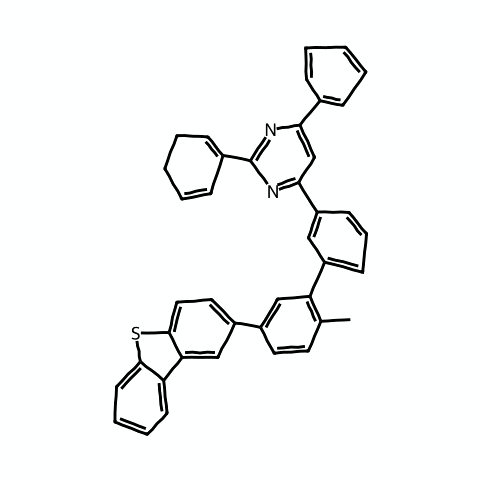 Cc1ccc(-c2ccc3sc4ccccc4c3c2)cc1-c1cccc(-c2cc(-c3ccccc3)nc(C3=CCCC=C3)n2)c1